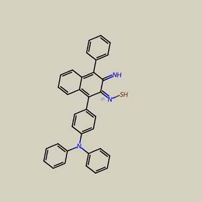 N=C1C(c2ccccc2)=c2ccccc2=C(c2ccc(N(c3ccccc3)c3ccccc3)cc2)/C1=N/S